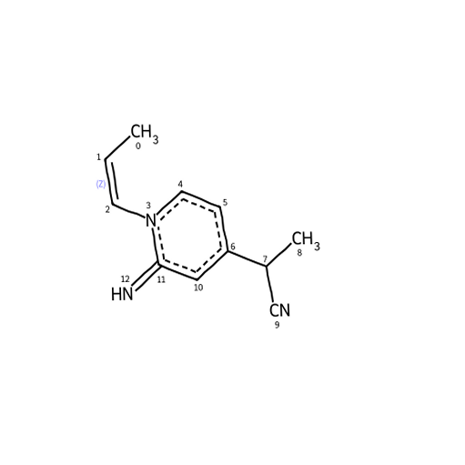 C/C=C\n1ccc(C(C)C#N)cc1=N